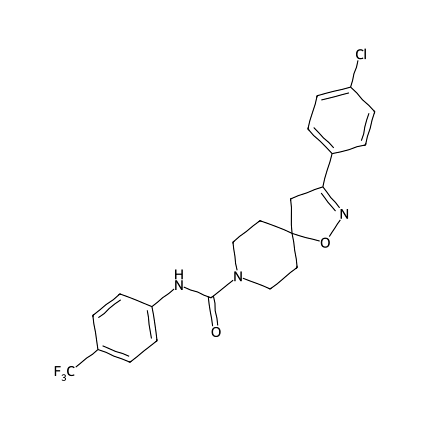 O=C(Nc1ccc(C(F)(F)F)cc1)N1CCC2(CC1)CC(c1ccc(Cl)cc1)=NO2